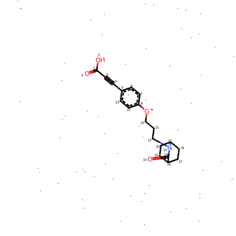 O=C(O)C#Cc1ccc(OCCCN2C(=O)C3CCC2CC3)cc1